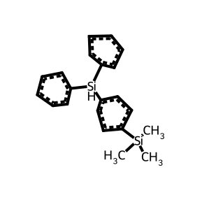 C[Si](C)(C)c1ccc([SiH](c2ccccc2)c2ccccc2)cc1